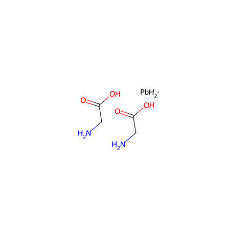 NCC(=O)O.NCC(=O)O.[PbH2]